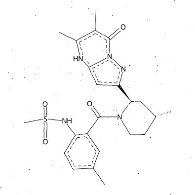 Cc1ccc(NS(C)(=O)=O)c(C(=O)N2CC[C@@H](C)C[C@@H]2c2cc3[nH]c(C)c(C)c(=O)n3n2)c1